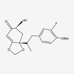 CCC[C@H]1C[C@]2(C(C)Cc3ccc(OC)c(F)c3)OCOC2=CC1=O